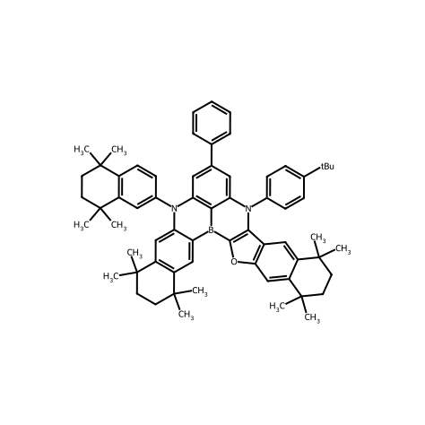 CC(C)(C)c1ccc(N2c3cc(-c4ccccc4)cc4c3B(c3cc5c(cc3N4c3ccc4c(c3)C(C)(C)CCC4(C)C)C(C)(C)CCC5(C)C)c3oc4cc5c(cc4c32)C(C)(C)CCC5(C)C)cc1